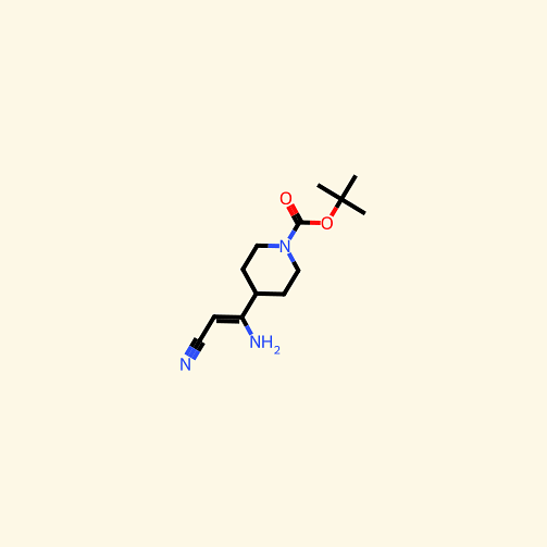 CC(C)(C)OC(=O)N1CCC(C(N)=CC#N)CC1